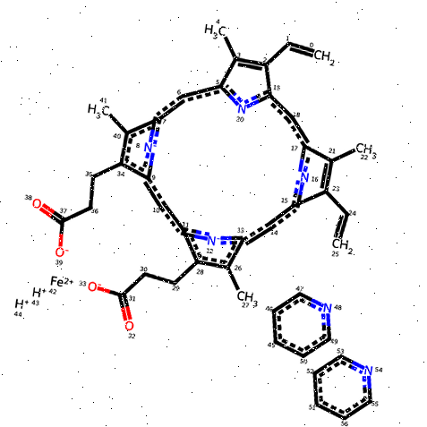 C=CC1=C(C)c2cc3[n-]c(cc4[n-]c(cc5nc(cc1n2)C(C)=C5C=C)c(C)c4CCC(=O)[O-])c(CCC(=O)[O-])c3C.[Fe+2].[H+].[H+].c1ccncc1.c1ccncc1